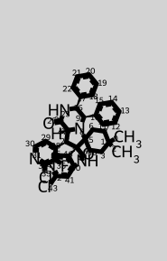 CC1(C)CCC2(CC1)N1[C@H](c3ccccc3)[C@H](c3ccccc3)NC(=O)[C@H]1[C@H](c1ccnc(Cl)c1F)[C@@]21C(=O)Nc2cc(Cl)ncc21